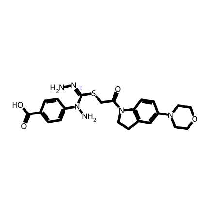 N/N=C(/SCC(=O)N1CCc2cc(N3CCOCC3)ccc21)N(N)c1ccc(C(=O)O)cc1